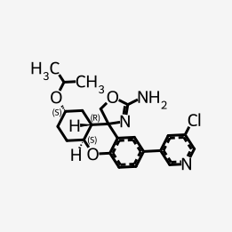 CC(C)O[C@H]1CC[C@@H]2Oc3ccc(-c4cncc(Cl)c4)cc3C3(COC(N)=N3)[C@H]2C1